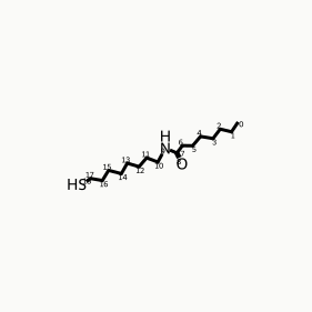 CCCCCCCC(=O)NCCCCCCCCS